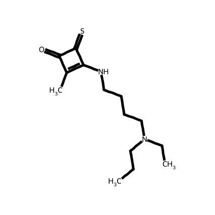 CCCN(CC)CCCCNc1c(C)c(=O)c1=S